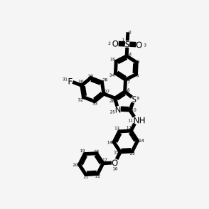 CS(=O)(=O)c1ccc(-c2sc(Nc3ccc(Oc4ccccc4)cc3)nc2-c2ccc(F)cc2)cc1